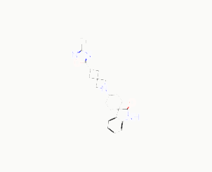 CCc1noc(C2CC3(C2)CN(C2CCC4(CC2)C(=O)Nc2ccccc24)C3)n1